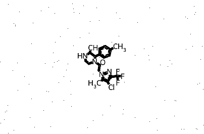 Cc1ccc(C2C(C)NCCN2C(=O)Cn2nc(C(F)(F)F)c(Cl)c2C)cc1